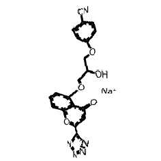 N#Cc1ccc(OCC(O)COc2cccc3oc(-c4nnn[n-]4)cc(=O)c23)cc1.[Na+]